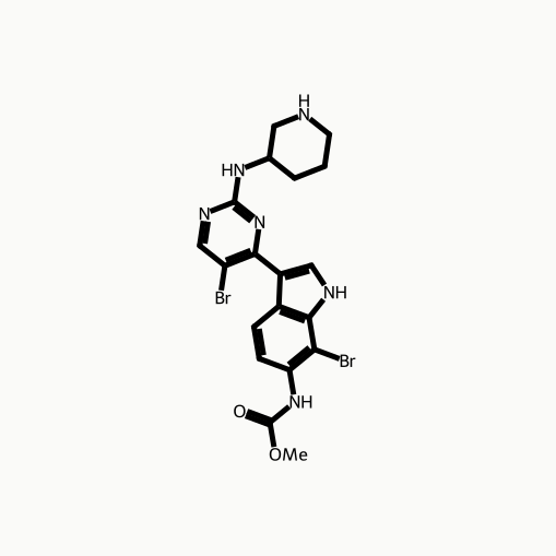 COC(=O)Nc1ccc2c(-c3nc(NC4CCCNC4)ncc3Br)c[nH]c2c1Br